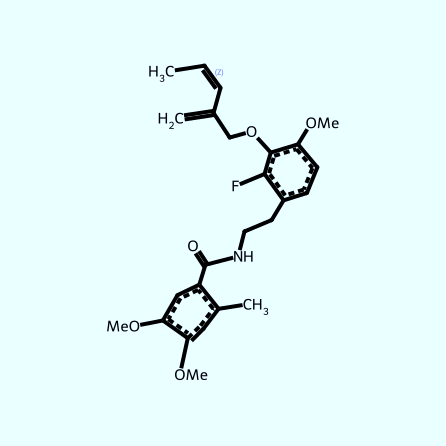 C=C(/C=C\C)COc1c(OC)ccc(CCNC(=O)c2cc(OC)c(OC)cc2C)c1F